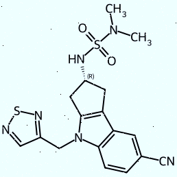 CN(C)S(=O)(=O)N[C@@H]1Cc2c(n(Cc3cnsn3)c3ccc(C#N)cc23)C1